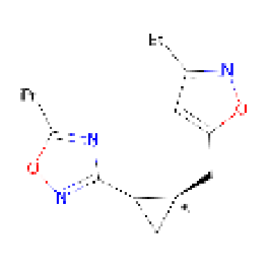 CCc1cc(C[C@H]2CC2c2noc(C(C)C)n2)on1